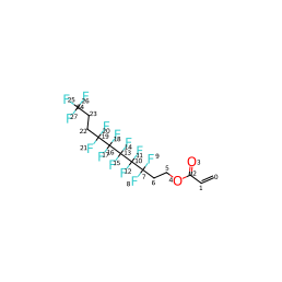 C=CC(=O)OCCC(F)(F)C(F)(F)C(F)(F)C(F)(F)C(F)(F)CCC(F)(F)F